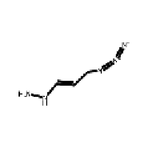 [N-]=[N+]=NCC=CNN